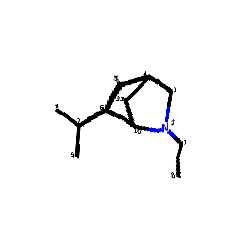 CCN1CC2CC(C(C)C)C1C2